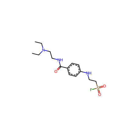 CCN(CC)CCNC(=O)c1ccc(NCCS(=O)(=O)F)cc1